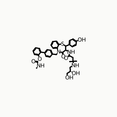 CNC(=O)Oc1ccccc1-c1ccc(CN2C(=O)C(NC(=O)CC(C)(C)NC[C@H](O)CO)C(c3ccc(O)cc3)Sc3ccccc32)cc1